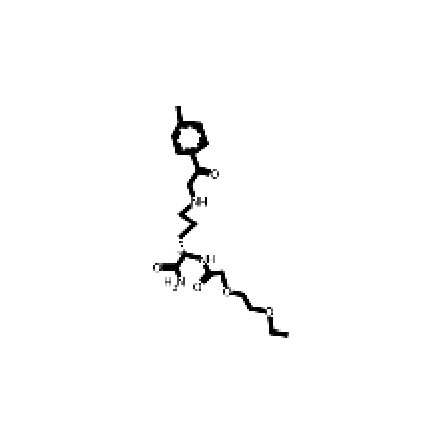 CCOCCOCC(=O)N[C@@H](CCCNCC(=O)c1ccc(C)cc1)C(N)=O